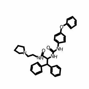 O=C(Nc1ccc(Oc2ccccc2)cc1)NC(C(=O)NCCN1CCCC1)C(c1ccccc1)c1ccccc1